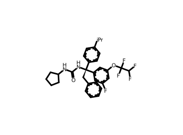 CC(C)c1ccc([C@@](Cc2ccccc2)(NC(=O)NC2CCCC2)c2cc(F)cc(OC(F)(F)C(F)F)c2)cc1